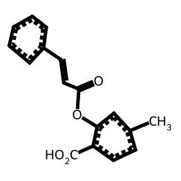 Cc1ccc(C(=O)O)c(OC(=O)C=Cc2ccccc2)c1